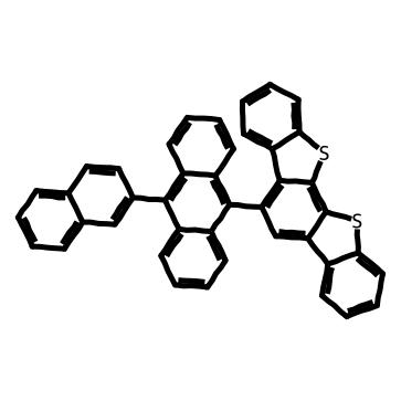 c1ccc2cc(-c3c4ccccc4c(-c4cc5c6ccccc6sc5c5sc6ccccc6c45)c4ccccc34)ccc2c1